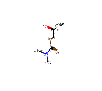 CCN(CC)C(=S)SCC(=O)OC